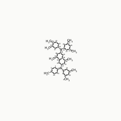 Cc1ccc(N(c2cc(C)cc(C)c2)c2cc(C)c3cc(N(c4cc(C)cc(C)c4)c4ccc(C)c(C)c4)cc(C)c3c2)cc1